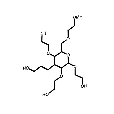 COCCOCC1OC(OCCO)C(OCCO)C(CCCO)C1OCCO